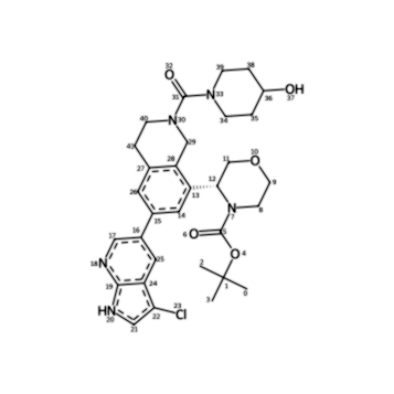 CC(C)(C)OC(=O)N1CCOC[C@H]1c1cc(-c2cnc3[nH]cc(Cl)c3c2)cc2c1CN(C(=O)N1CCC(O)CC1)CC2